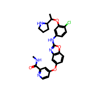 CNC(=O)c1cc(Oc2ccc3oc(Nc4ccc(Cl)c(OC(C)C5CCCN5)c4)nc3c2)ccn1